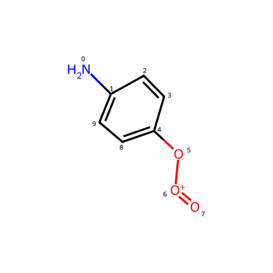 Nc1ccc(O[O+]=O)cc1